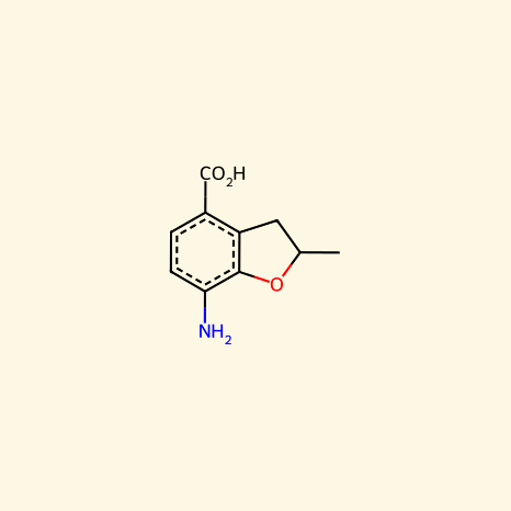 CC1Cc2c(C(=O)O)ccc(N)c2O1